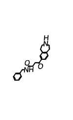 O=C(CCC(=O)c1ccc2c(c1)CCNCC2)NCc1ccccc1